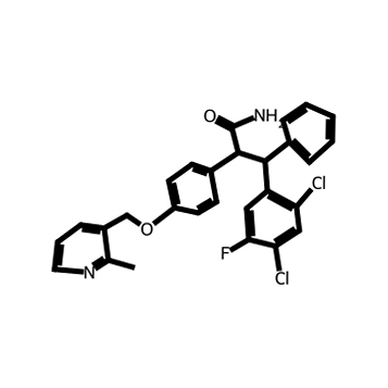 Cc1ncccc1COc1ccc(C(C(N)=O)C(c2ccccc2)c2cc(F)c(Cl)cc2Cl)cc1